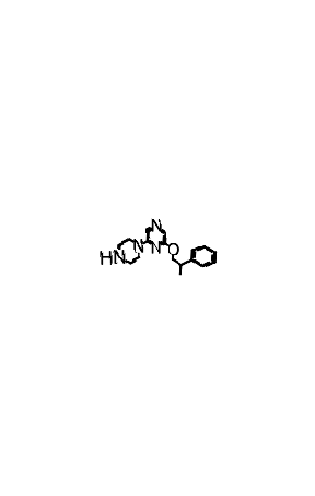 CC(COc1cncc(N2CCNCC2)n1)c1ccccc1